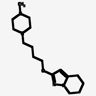 CN1CCN(CCCCOc2cc3n(n2)CCCC3)CC1